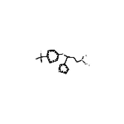 CN(C)CCC(Oc1ccc(C(F)(F)F)cc1)c1ccsc1